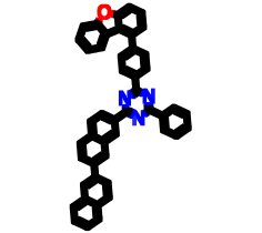 c1ccc(-c2nc(-c3ccc(-c4cccc5oc6ccccc6c45)cc3)nc(-c3ccc4ccc(-c5ccc6ccccc6c5)cc4c3)n2)cc1